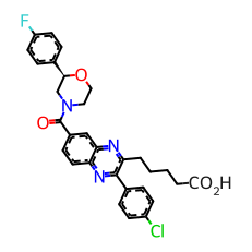 O=C(O)CCCCc1nc2cc(C(=O)N3CCO[C@H](c4ccc(F)cc4)C3)ccc2nc1-c1ccc(Cl)cc1